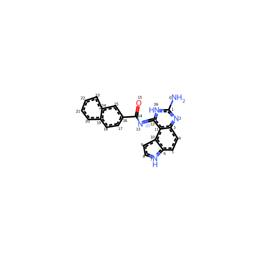 Nc1nc2ccc3[nH]ccc3c2/c(=N/C(=O)c2ccc3ccccc3c2)[nH]1